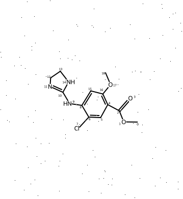 COC(=O)c1cc(Cl)c(NC2=NCCN2)cc1OC